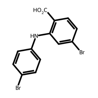 O=C(O)c1ccc(Br)cc1Nc1ccc(Br)cc1